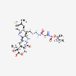 Cc1cc2c(CCCNC(=O)CNC(=O)OC(C)(C)C)c3c(nc2cc1F)-c1cc2c(c(=O)n1C3)COC(=O)[C@@]2(C)O